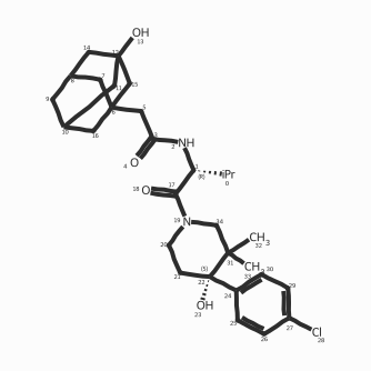 CC(C)[C@@H](NC(=O)CC12CC3CC(CC(O)(C3)C1)C2)C(=O)N1CC[C@](O)(c2ccc(Cl)cc2)C(C)(C)C1